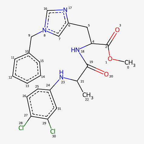 COC(=O)C(Cc1cn(Cc2ccccc2)cn1)NC(=O)C(C)Nc1ccc(Cl)c(Cl)c1